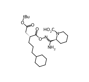 CC(C)(C)OC(=O)C[C@@H](CCCC1CCCCC1)C(=O)O/N=C(\N)[C@@H]1CCCCN1C(=O)O